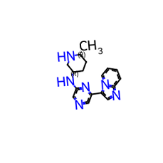 C[C@@H]1CC[C@@H](Nc2cncc(-c3cnc4ccccn34)n2)CN1